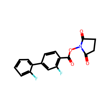 O=C(ON1C(=O)CCC1=O)c1ccc(-c2ccccc2F)cc1F